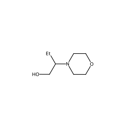 CCC(CO)N1CCOCC1